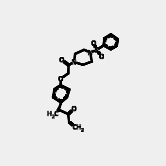 C=CC(=O)C(=C)c1ccc(OCC(=O)N2CCN(S(=O)(=O)c3ccccc3)CC2)cc1